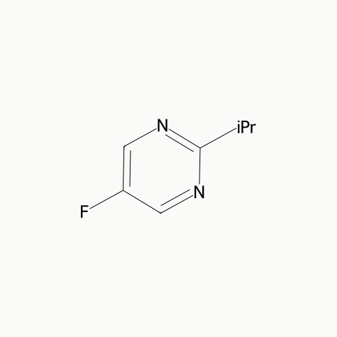 CC(C)c1ncc(F)cn1